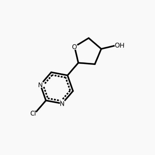 OC1COC(c2cnc(Cl)nc2)C1